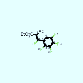 CCOC(=O)C(C(C)=O)=C(F)c1cc(F)c(F)c(F)c1F